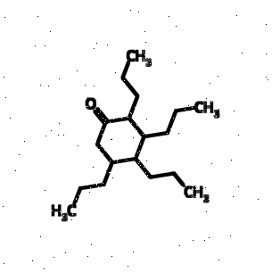 CCCC1CC(=O)C(CCC)C(CCC)C1CCC